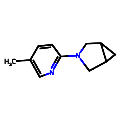 Cc1ccc(N2CC3CC3C2)nc1